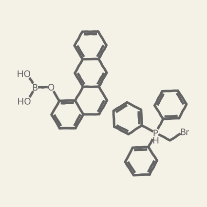 BrC[PH](c1ccccc1)(c1ccccc1)c1ccccc1.OB(O)Oc1cccc2ccc3cc4ccccc4cc3c12